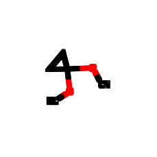 N#COC1(OC#N)CC1